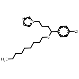 CCCCCCCCCSC(CCCn1ccnc1)c1ccc(Cl)cc1